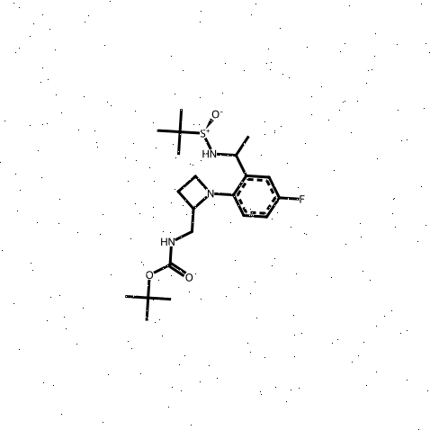 CC(N[S@+]([O-])C(C)(C)C)c1cc(F)ccc1N1CCC1CNC(=O)OC(C)(C)C